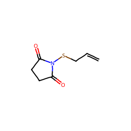 C=CCSN1C(=O)CCC1=O